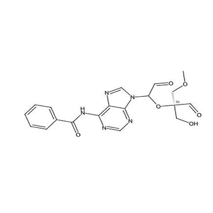 COC[C@](C=O)(CO)OC(C=O)n1cnc2c(NC(=O)c3ccccc3)ncnc21